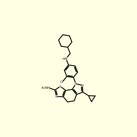 CC(=O)Nc1nc2c(s1)-c1c(c(C3CC3)nn1-c1ccc(NCC3CCCCC3)cc1Cl)CC2